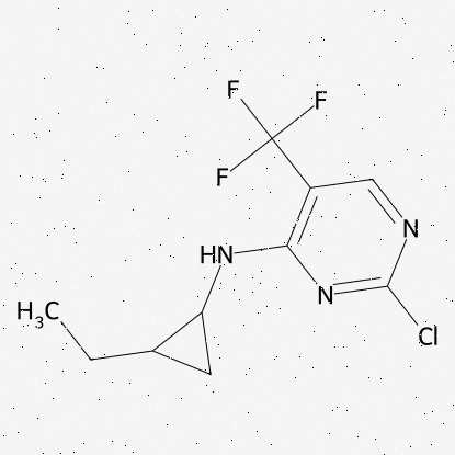 CCC1CC1Nc1nc(Cl)ncc1C(F)(F)F